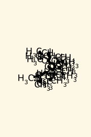 CC[Si](CC)(CC)OCCC[C@@H]1O[C@@H]([C@H](C=CI)O[Si](C)(C)C(C)(C)C)[C@@H](O[Si](C)(C)C(C)(C)C)[C@@H](O[Si](C)(C)C(C)(C)C)[C@H]1O[Si](C)(C)C(C)(C)C